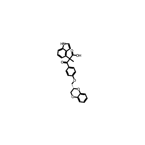 CC(C(=O)O)(C(=O)c1ccc(OC[C@H]2COc3ccccc3O2)cc1)c1cccc2[nH]ccc12